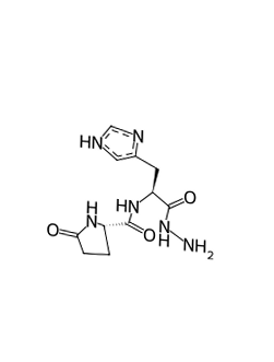 NNC(=O)[C@H](Cc1c[nH]cn1)NC(=O)[C@@H]1CCC(=O)N1